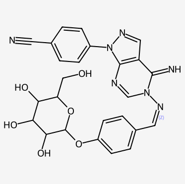 N#Cc1ccc(-n2ncc3c(=N)n(/N=C\c4ccc(OC5OC(CO)C(O)C(O)C5O)cc4)cnc32)cc1